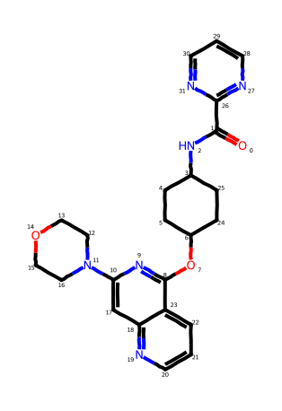 O=C(NC1CCC(Oc2nc(N3CCOCC3)cc3ncccc23)CC1)c1ncccn1